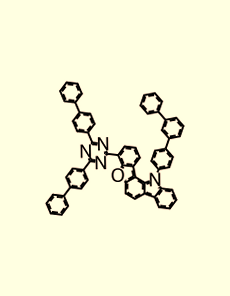 c1ccc(-c2ccc(-c3nc(-c4ccc(-c5ccccc5)cc4)nc(-c4cccc5c4oc4ccc6c7ccccc7n(-c7ccc(-c8cccc(-c9ccccc9)c8)cc7)c6c45)n3)cc2)cc1